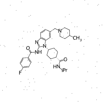 CC1CCN(Cc2ccc3nc(NC(=O)c4ccc(F)cc4)n([C@H]4CC[C@@H](C(=O)NC(C)C)CC4)c3c2)CC1